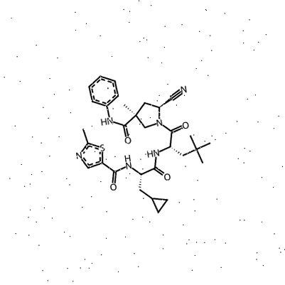 Cc1ncc(C(=O)N[C@@H](CC2CC2)C(=O)N[C@@H](CC(C)(C)C)C(=O)N2C[C@@](C)(C(=O)Nc3ccccc3)C[C@H]2C#N)s1